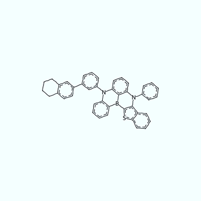 c1ccc(N2c3cccc4c3B(c3ccccc3N4c3cccc(-c4ccc5c(c4)CCCC5)c3)c3sc4ccccc4c32)cc1